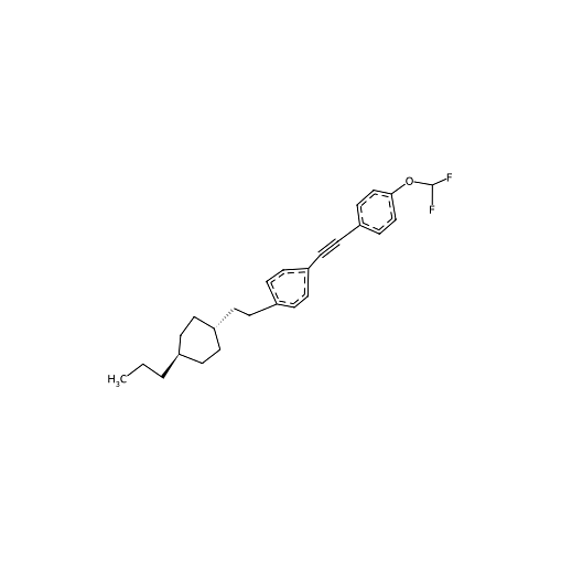 CCC[C@H]1CC[C@H](CCc2ccc(C#Cc3ccc(OC(F)F)cc3)cc2)CC1